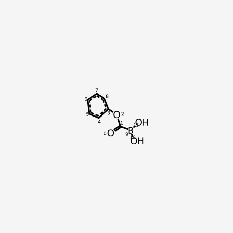 O=C(Oc1ccccc1)B(O)O